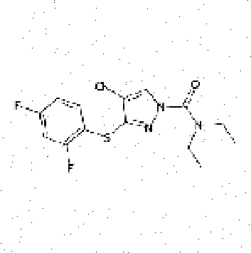 CCN(CC)C(=O)n1cc(Cl)c(Sc2ccc(F)cc2F)n1